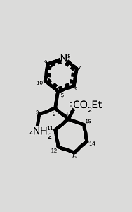 CCOC(=O)C1(C(CN)c2ccncc2)CCCCC1